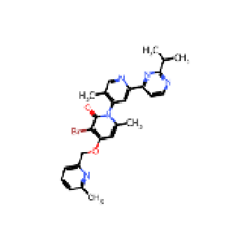 Cc1cccc(COc2cc(C)n(-c3cc(-c4ccnc(C(C)C)n4)ncc3C)c(=O)c2Br)n1